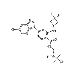 CC(C)(O)[C@H](F)CNC(=O)c1cnc(-c2cnc3cc(Cl)cnn23)cc1NC1CC(F)(F)C1